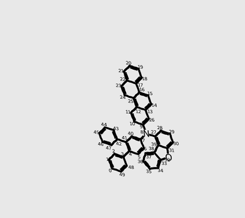 c1ccc(-c2ccc(N(c3ccc4c(ccc5c6ccccc6ccc45)c3)c3cccc4oc5ccccc5c34)cc2-c2ccccc2)cc1